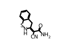 N#CC(C(N)=O)=C1Cc2ccccc2SN1